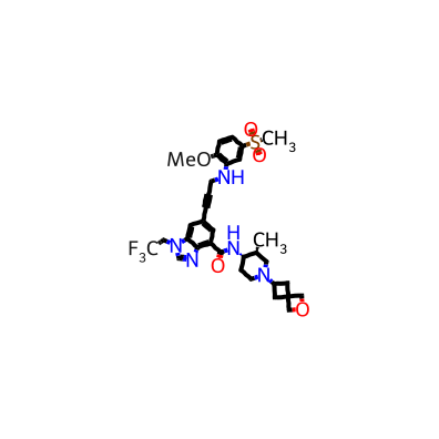 COc1ccc(S(C)(=O)=O)cc1NCC#Cc1cc(C(=O)N[C@H]2CCN(C3CC4(COC4)C3)C[C@@H]2C)c2ncn(CC(F)(F)F)c2c1